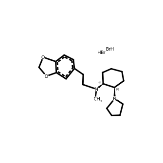 Br.Br.CN(CCc1ccc2c(c1)OCO2)[C@H]1CCCC[C@H]1N1CCCC1